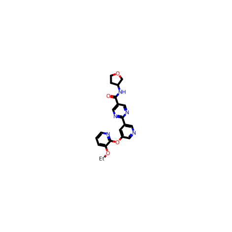 CCOc1cccnc1Oc1cncc(-c2ncc(C(=O)NC3CCOC3)cn2)c1